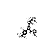 Cc1cc(C(O)(C(F)(F)F)C(F)(F)F)ccc1-c1sc(-c2nnc(C(C)(C)O)n2C)nc1C(=O)N1CCCC1C